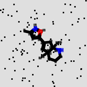 Cc1cc(C2=C[C@H]3CCCN[C@H]3C2)on1